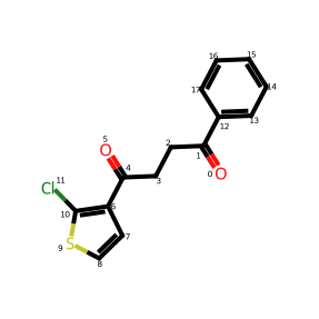 O=C(CCC(=O)c1ccsc1Cl)c1ccccc1